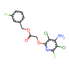 Nc1c(Cl)c(F)nc(OCC(=O)OCc2cccc(F)c2)c1Cl